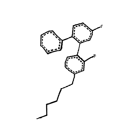 CCCCCCc1ccc(-c2cc(F)ccc2-c2ccccc2)c(F)c1